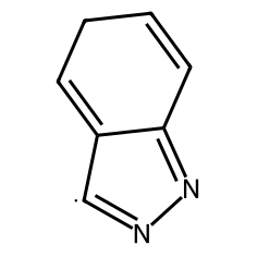 [C]1=NN=C2C=CCC=C12